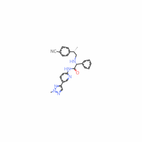 C[C@H](CN[C@@H](C(=O)Nc1ccc(-c2cnn(C)n2)cn1)c1ccccc1)c1ccc(C#N)cc1